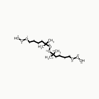 CC(C)(CCCCOOO)OOC(C)(C)CCCCOOO